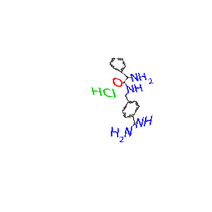 Cl.N=C(N)c1ccc(CNC(=O)C(N)c2ccccc2)cc1